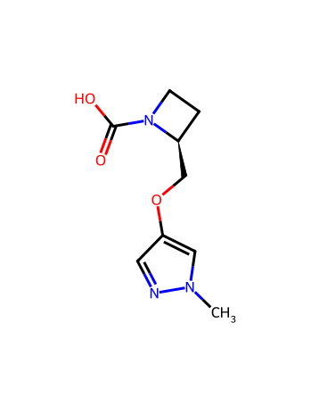 Cn1cc(OC[C@@H]2CCN2C(=O)O)cn1